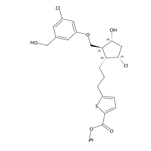 CC(C)OC(=O)c1ccc(CCC[C@@H]2[C@@H](COc3cc(Cl)cc(CO)c3)[C@H](O)C[C@@H]2Cl)s1